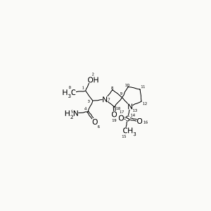 CC(O)C(C(N)=O)N1CC2(CCCN2S(C)(=O)=O)C1=O